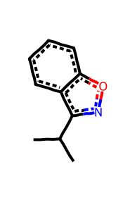 CC(C)c1noc2ccccc12